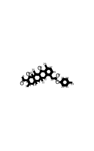 CC(=O)C1=C(C)CC2(C)CC3(C)Cc4c(CC(=O)Oc5ccc(C)cc5)ccc(C)c4C(=O)C3=C(C)C2(C)C1=O